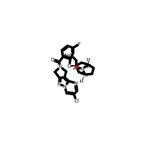 COCCN1[C@@H]2CC[C@H]1C[C@@H](Oc1cc(F)ccc1C(=O)N1Cc3nn4cc(Cl)cnc4c3C1)C2